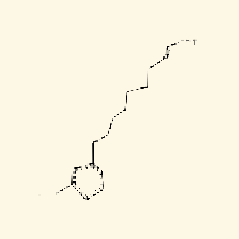 CCCCCCCC=CCCCCCCCc1cccc(C(=O)O)c1